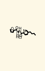 CCCCc1ccc(C(=O)NNC(=O)c2ccco2)nc1.Cl